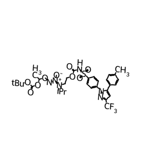 Cc1ccc(-c2cc(C(F)(F)F)nn2-c2ccc(S(=O)(=O)NC(=O)OCCN(C(C)C)[N+]([O-])=NOC(C)OC(=O)OC(C)(C)C)cc2)cc1